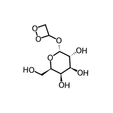 OC[C@H]1O[C@H](OC2COO2)[C@H](O)[C@@H](O)[C@H]1O